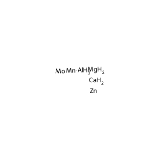 [AlH3].[CaH2].[MgH2].[Mn].[Mo].[Zn]